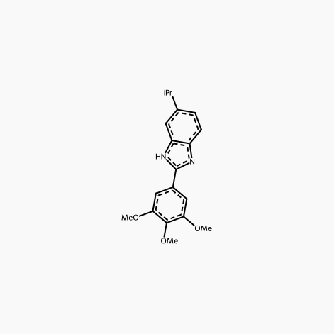 COc1cc(-c2nc3ccc(C(C)C)cc3[nH]2)cc(OC)c1OC